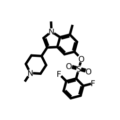 Cc1cc(OS(=O)(=O)c2c(F)cccc2F)cc2c(C3CCN(C)CC3)cn(C)c12